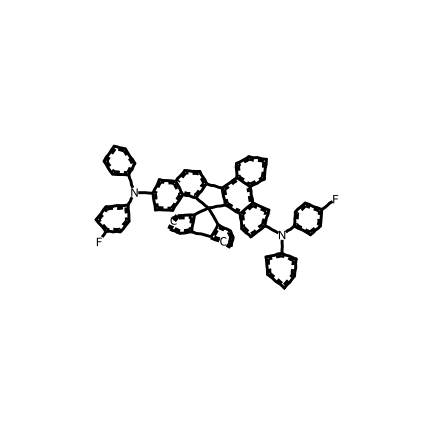 Fc1ccc(N(c2ccccc2)c2ccc3c4c(ccc3c2)-c2c(c3ccc(N(c5ccccc5)c5ccc(F)cc5)cc3c3ccccc23)C42c3ccccc3-c3ccccc32)cc1